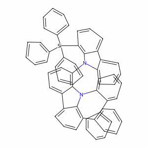 c1ccc(-c2ccccc2-n2c3c(-c4ccccc4)cccc3c3cccc(-n4c5ccccc5c5cccc([Si](c6ccccc6)(c6ccccc6)c6ccccc6)c54)c32)cc1